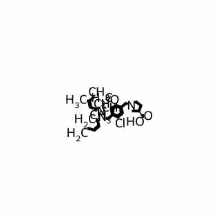 C=C/C=C\C(=C)N(Cc1cc(OC)c(CN2CC[C@@H](C(=O)O)C2)cc1Cl)N(C)C(C)(C)/C=C(/C)CC